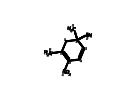 CC1(S)C=CC([N+](=O)[O-])=C(N)C1